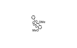 COc1c(OC(=O)c2ccccc2)c(=O)oc2c(OC)cccc12